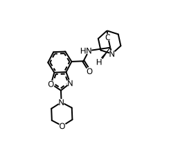 O=C(N[C@@H]1CC2CCN1CC2)c1cccc2oc(N3CCOCC3)nc12